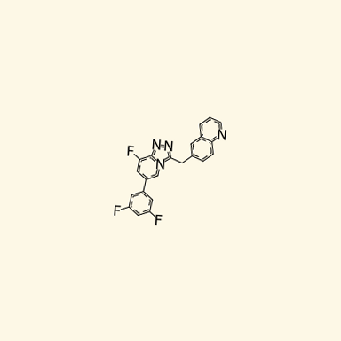 Fc1cc(F)cc(-c2cc(F)c3nnc(Cc4ccc5ncccc5c4)n3c2)c1